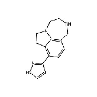 c1cc(-c2ccc3c4c2CCN4CCNC3)n[nH]1